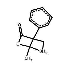 CCC1(c2ccccc2)C(=O)OC1(C)C